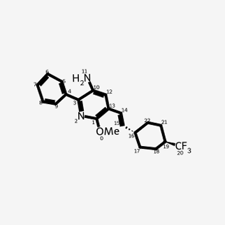 COc1nc(-c2ccccc2)c(N)cc1/C=C/[C@H]1CC[C@H](C(F)(F)F)CC1